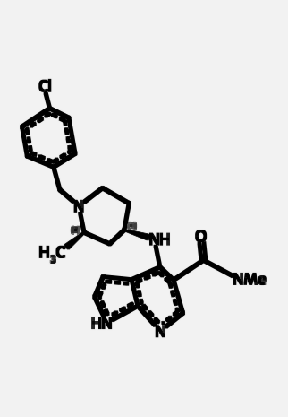 CNC(=O)c1cnc2[nH]ccc2c1N[C@@H]1CCN(Cc2ccc(Cl)cc2)[C@H](C)C1